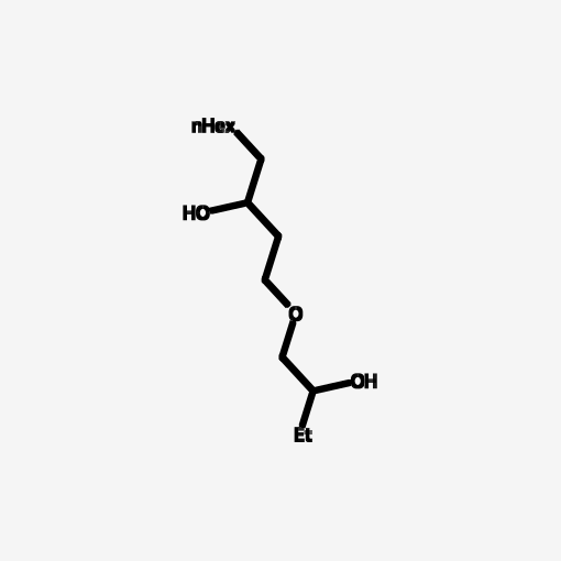 CCCCCCCC(O)CCOCC(O)CC